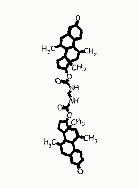 CC1CC2(C)C(OC(=O)NCNC(=O)OC3CCC4C5C(C)CC6=CC(=O)CCC6C5C(C)CC34C)CCC2C2C(C)CC3=CC(=O)CCC3C12